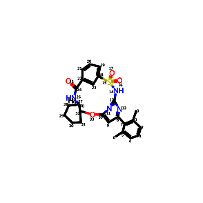 Cc1cccc(C)c1-c1cc2nc(n1)NS(=O)(=O)c1cccc(c1)C(=O)N[C@@H]1CCCCC1O2